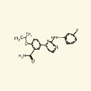 CC(C)Oc1ccc(-c2ccnc(Nc3cccc(F)c3)n2)cc1C(N)=O